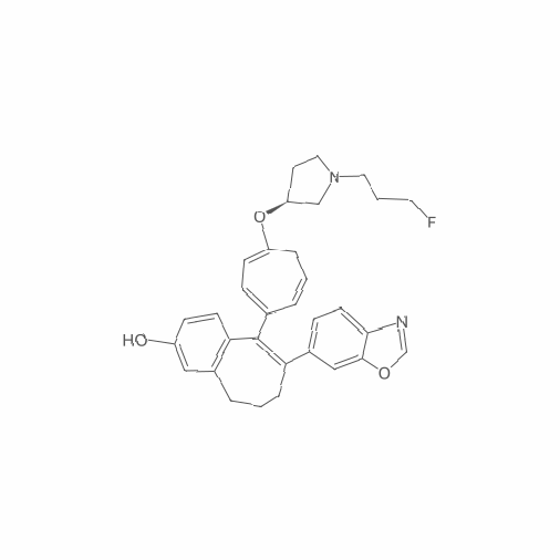 Oc1ccc2c(c1)CCCC(c1ccc3ncoc3c1)=C2C1=CC=C(O[C@H]2CCN(CCCF)C2)CC=C1